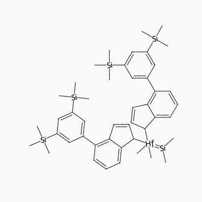 C[Si](C)=[Hf]([CH3])([CH3])([CH]1C=Cc2c(-c3cc([Si](C)(C)C)cc([Si](C)(C)C)c3)cccc21)[CH]1C=Cc2c(-c3cc([Si](C)(C)C)cc([Si](C)(C)C)c3)cccc21